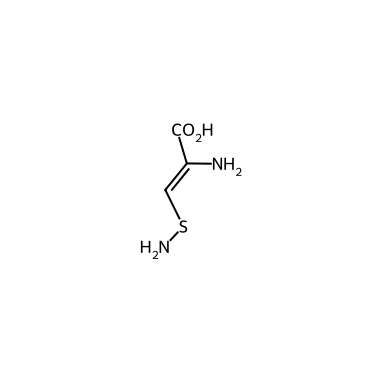 NS/C=C(\N)C(=O)O